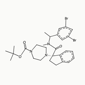 CC(c1cc(Br)cc(Br)c1)N(C)C(=O)[C@]1(N2CCN(C(=O)OC(C)(C)C)CC2)CCc2ccccc21